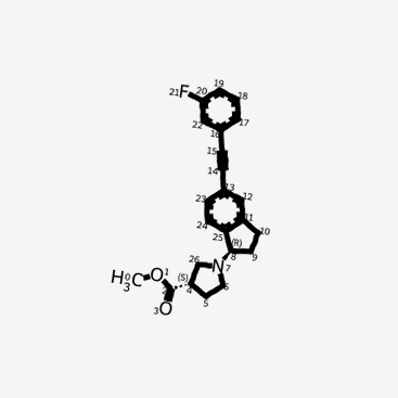 COC(=O)[C@H]1CCN([C@@H]2CCc3cc(C#Cc4cccc(F)c4)ccc32)C1